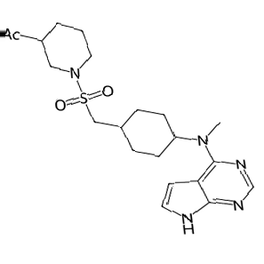 CC(=O)C1CCCN(S(=O)(=O)CC2CCC(N(C)c3ncnc4[nH]ccc34)CC2)C1